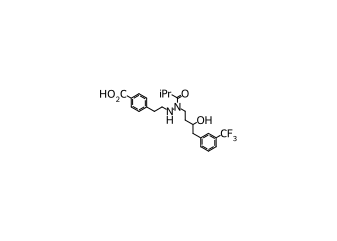 CC(C)C(=O)N(CCC(O)Cc1cccc(C(F)(F)F)c1)NCCc1ccc(C(=O)O)cc1